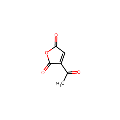 CC(=O)C1=CC(=O)OC1=O